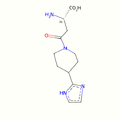 N[C@@H](CC(=O)N1CCC(c2ncc[nH]2)CC1)C(=O)O